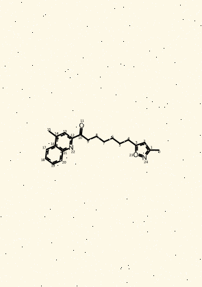 Cc1cc(CCCCCCC(=O)c2cc(C)c3ccccc3n2)on1